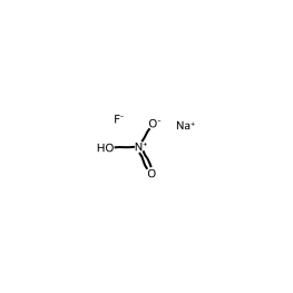 O=[N+]([O-])O.[F-].[Na+]